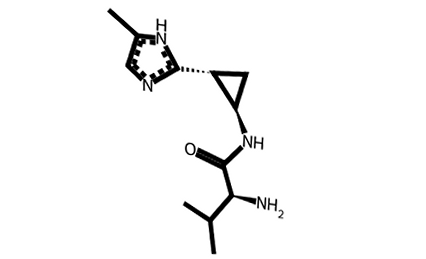 Cc1cnc([C@@H]2C[C@H]2NC(=O)[C@@H](N)C(C)C)[nH]1